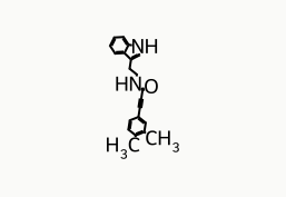 Cc1ccc(C#CC(=O)NCCc2c[nH]c3ccccc23)cc1C